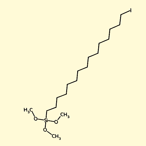 CO[Si](CCCCCCCCCCCCCCCI)(OC)OC